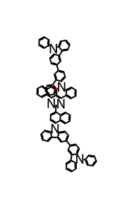 c1ccc(-n2c3ccccc3c3cc(-c4ccc5c(c4)c4ccccc4n5-c4ccccc4-c4nc(-c5ccc(-n6c7ccccc7c7cc(-c8ccc9c(c8)c8ccccc8n9-c8ccccc8)ccc76)c6ccccc56)nc5c4ccc4ccccc45)ccc32)cc1